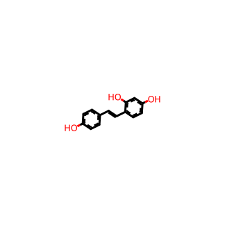 Oc1ccc(C=Cc2ccc(O)cc2O)cc1